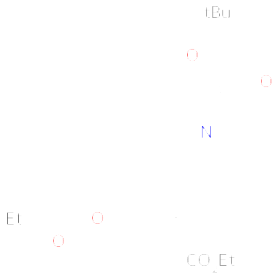 CCOOCC1(C(=O)OCC)CCN(C(=O)OC(C)(C)C)CC1